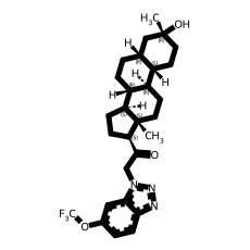 C[C@@]1(O)CC[C@H]2[C@H](CC[C@@H]3[C@@H]2CC[C@]2(C)[C@@H](C(=O)Cn4nnc5ccc(OC(F)(F)F)cc54)CC[C@@H]32)C1